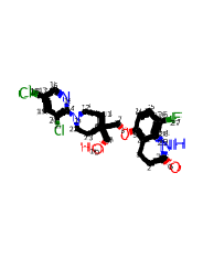 O=C1CCc2c(OCC3(CO)CCN(c4ncc(Cl)cc4Cl)CC3)ccc(F)c2N1